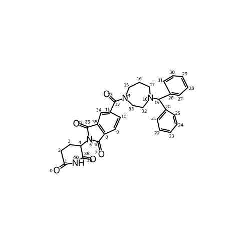 O=C1CCC(N2C(=O)c3ccc(C(=O)N4CCCN(C(c5ccccc5)c5ccccc5)CC4)cc3C2=O)C(=O)N1